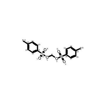 O=S(=O)(OCOS(=O)(=O)c1ccc(I)cc1)c1ccc(I)cc1